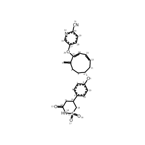 C=C1CC[C@@H](Oc2ccc(C3CC(=O)NS(=O)(=O)C3)cc2)C/C=C\C=C/1Oc1ccc(C#N)nc1